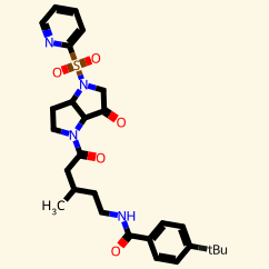 CC(CCNC(=O)c1ccc(C(C)(C)C)cc1)CC(=O)N1CCC2C1C(=O)CN2S(=O)(=O)c1ccccn1